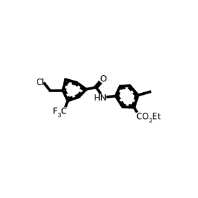 CCOC(=O)c1cc(NC(=O)c2ccc(CCl)c(C(F)(F)F)c2)ccc1C